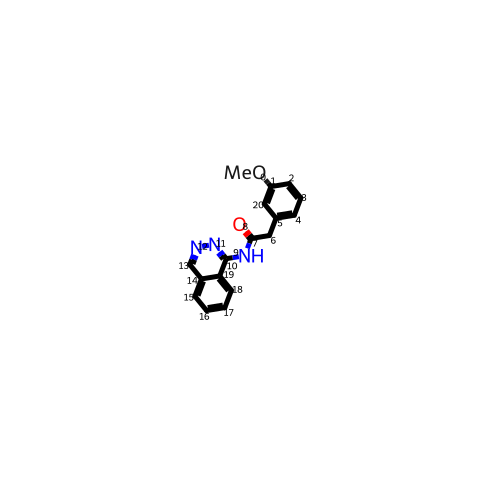 COc1cccc(CC(=O)Nc2nncc3ccccc23)c1